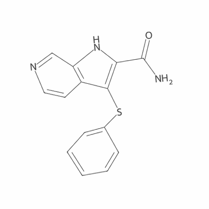 NC(=O)c1[nH]c2cnccc2c1Sc1ccccc1